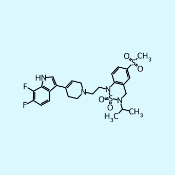 CC(C)N1Cc2cc(S(C)(=O)=O)ccc2N(CCN2CC=C(c3c[nH]c4c(F)c(F)ccc34)CC2)S1(=O)=O